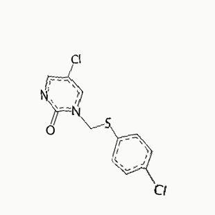 O=c1ncc(Cl)cn1CSc1ccc(Cl)cc1